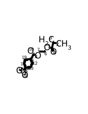 C=C(C)C(=O)OCCOC(=O)c1ccc([N+](=O)[O-])cc1